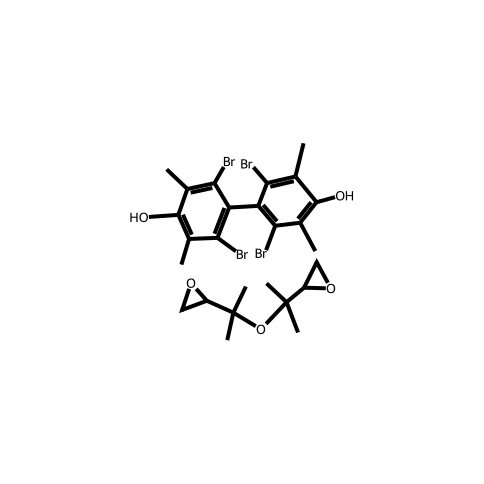 CC(C)(OC(C)(C)C1CO1)C1CO1.Cc1c(O)c(C)c(Br)c(-c2c(Br)c(C)c(O)c(C)c2Br)c1Br